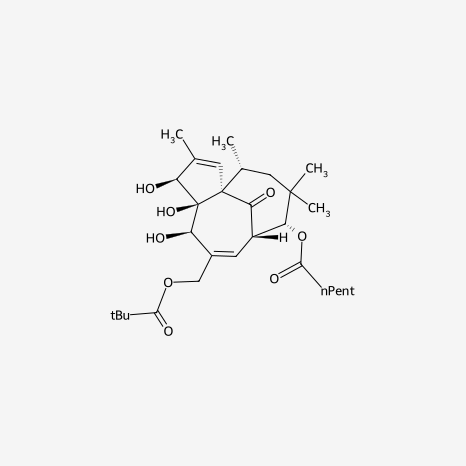 CCCCCC(=O)O[C@@H]1[C@@H]2C=C(COC(=O)C(C)(C)C)[C@@H](O)[C@]3(O)[C@@H](O)C(C)=C[C@@]3(C2=O)[C@H](C)CC1(C)C